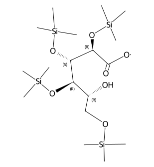 C[Si](C)(C)OC[C@@H](O)[C@@H](O[Si](C)(C)C)[C@H](O[Si](C)(C)C)[C@@H](O[Si](C)(C)C)C([O])=O